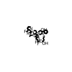 CCC[C@H]1N(C(=O)c2ncccc2C(F)F)CCC[C@@]1(Oc1csc(C(F)(F)F)c1)C(=O)N1CCC(O)(c2ccccc2SCCCC(=O)O)CC1